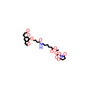 CC(OC(=O)CCCCCNC(=O)CCCOc1c2occc2cc2ccc(=O)oc12)OC(=O)ON1C(=O)CCC1=O